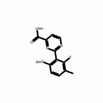 COC(=O)c1ccnc(-c2c(OC)ccc(C)c2F)n1